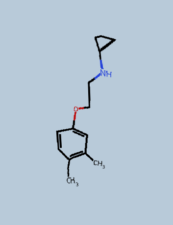 Cc1ccc(OCCNC2CC2)cc1C